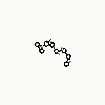 c1ccc2c(c1)sc1ccc(-c3ccnc(-c4cc(-c5ccc6oc7ccc(-n8c9ccccc9c9ccccc98)cc7c6c5)ccn4)c3)cc12